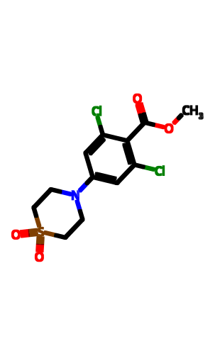 COC(=O)c1c(Cl)cc(N2CCS(=O)(=O)CC2)cc1Cl